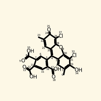 Cc1cc2c(-c3cc(C(=O)O)c(C(=O)O)cc3C(=O)O)c3cc(C)c(=O)c(Cl)c-3oc2c(Cl)c1O